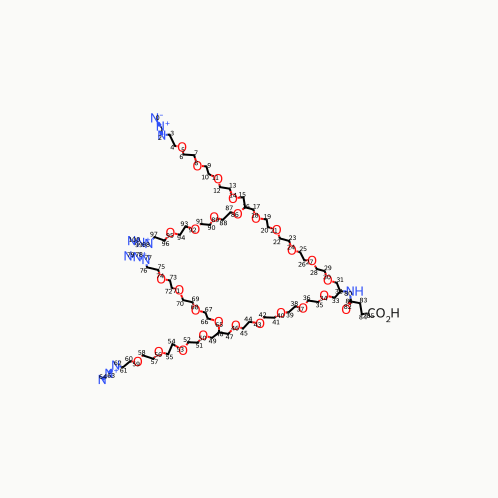 [N-]=[N+]=NCCOCCOCCOCCOCC(COCCOCCOCCOCCOCC(COCCOCCOCCOCCOCC(COCCOCCOCCOCCN=[N+]=[N-])OCCOCCOCCOCCN=[N+]=[N-])NC(=O)CCC(=O)O)OCCOCCOCCOCCN=[N+]=[N-]